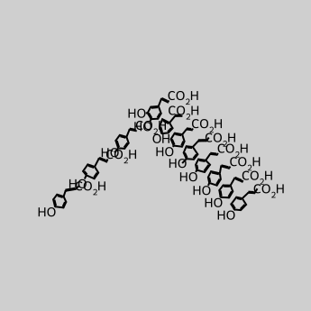 O=C(O)C=Cc1ccc(O)c(O)c1.O=C(O)C=Cc1ccc(O)cc1.O=C(O)C=Cc1ccc(O)cc1.O=C(O)C=Cc1ccc(O)cc1.O=C(O)C=Cc1ccc(O)cc1.O=C(O)C=Cc1ccc(O)cc1.O=C(O)C=Cc1ccc(O)cc1.O=C(O)C=Cc1ccc(O)cc1.O=C(O)C=Cc1ccc(O)cc1.O=C(O)C=Cc1ccc(O)cc1.O=C(O)C=Cc1ccc(O)cc1